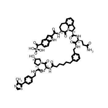 Cc1ncsc1-c1ccc(CNC(=O)[C@@H]2C[C@@H](O)CN2C(=O)[C@@H](NC(=O)CCCCCc2cccc(CNC(=O)[C@H](CCC(N)=O)NC(=O)[C@@H]3Cc4cccc5c4N3C(=O)[C@@H](NC(=O)c3cc4cc(C(=O)P(=O)(O)O)ccc4[nH]3)CC5)c2)C(C)(C)C)cc1